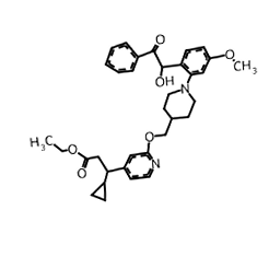 CCOC(=O)CC(c1ccnc(OCC2CCN(c3cc(OC)ccc3C(O)C(=O)c3ccccc3)CC2)c1)C1CC1